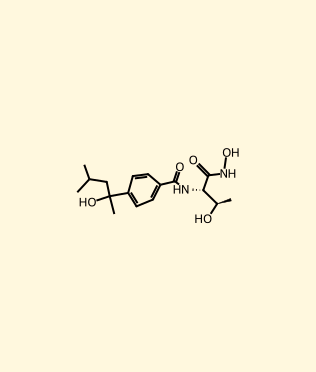 CC(C)CC(C)(O)c1ccc(C(=O)N[C@H](C(=O)NO)[C@@H](C)O)cc1